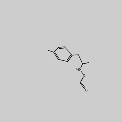 Cc1ccc(CC(C)POC=O)cc1